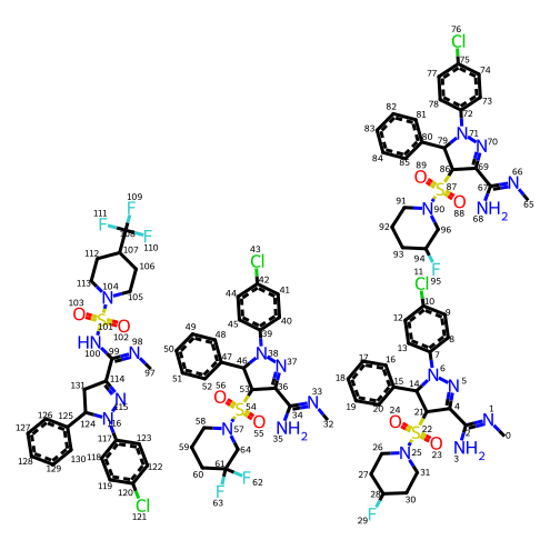 CN=C(N)C1=NN(c2ccc(Cl)cc2)C(c2ccccc2)C1S(=O)(=O)N1CCC(F)CC1.CN=C(N)C1=NN(c2ccc(Cl)cc2)C(c2ccccc2)C1S(=O)(=O)N1CCCC(F)(F)C1.CN=C(N)C1=NN(c2ccc(Cl)cc2)C(c2ccccc2)C1S(=O)(=O)N1CCCC(F)C1.CN=C(NS(=O)(=O)N1CCC(C(F)(F)F)CC1)C1=NN(c2ccc(Cl)cc2)C(c2ccccc2)C1